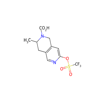 CC1Cc2cnc(OS(=O)(=O)C(F)(F)F)cc2CN1C(=O)O